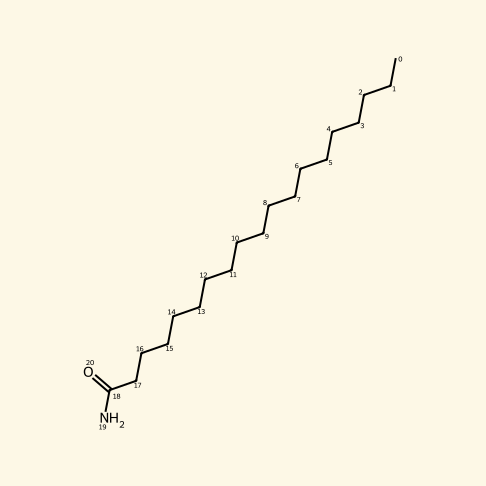 CCCCCCCCCCCCCCCCCCC(N)=O